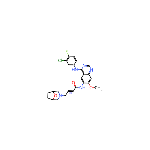 COc1cc2ncnc(Nc3ccc(F)c(Cl)c3)c2cc1NC(=O)/C=C/CN1CC2CCC(C1)O2